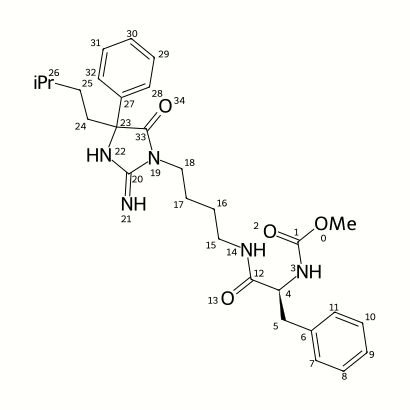 COC(=O)N[C@@H](Cc1ccccc1)C(=O)NCCCCN1C(=N)NC(CCC(C)C)(c2ccccc2)C1=O